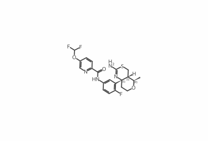 C[C@H]1OCC[C@]2(c3cc(NC(=O)c4ccc(OC(F)F)cn4)ccc3F)N=C(N)SC[C@H]12